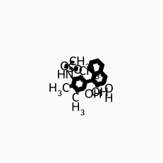 Cc1c(C)c(NS(C)(=O)=O)c(C)c(-c2c(O)c(O)cc3ccccc23)c1O